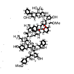 COCC[C@@H](C(=O)N1C[C@@H](O)C[C@@H]1C(=O)N[C@@H](CC(=O)O)C(=O)N[C@H](C(=O)N(C)[C@@H](C=O)Cc1ccccc1)C(C)C)N(C)C(=O)[C@H](Cc1ccccc1)N(C)C(=O)[C@H](Cc1ccc(F)c(F)c1)NC(=O)CSC[C@H](NC(=O)[C@H](CCCN)NC(=O)[C@H](Cc1ccc(O)cc1)NC(=O)[C@H](Cc1c[nH]c2ccccc12)NC(=O)[C@H]1C[C@H](O)CN1C(=O)[C@@H](N)Cc1ccc(OC)cc1)C(=O)NCC(N)=O